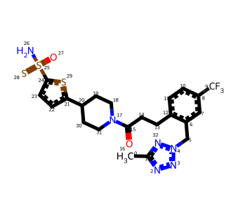 Cc1nnn(Cc2cc(C(F)(F)F)ccc2CCC(=O)N2CCC(c3ccc(S(N)(=O)=S)s3)CC2)n1